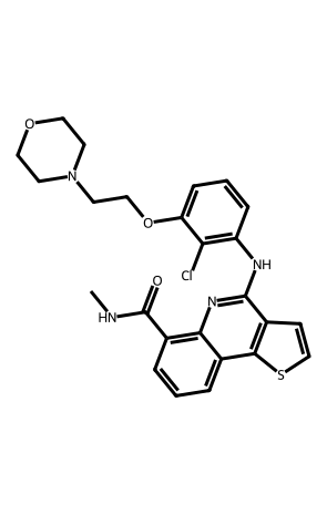 CNC(=O)c1cccc2c1nc(Nc1cccc(OCCN3CCOCC3)c1Cl)c1ccsc12